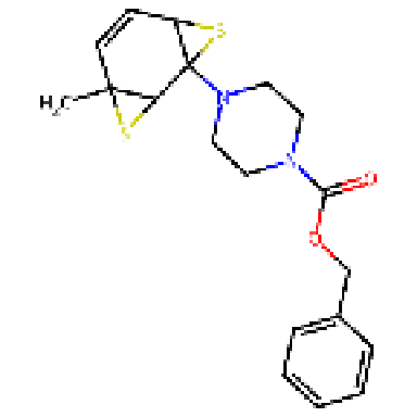 CC12C=CC3SC3(N3CCN(C(=O)OCc4ccccc4)CC3)C1S2